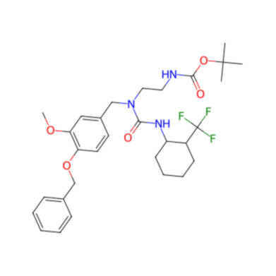 COc1cc(CN(CCNC(=O)OC(C)(C)C)C(=O)NC2CCCCC2C(F)(F)F)ccc1OCc1ccccc1